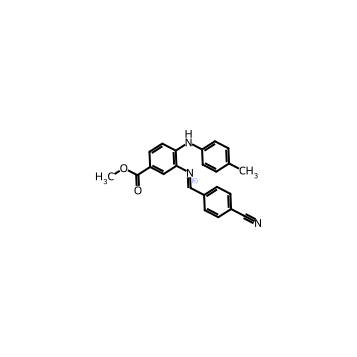 COC(=O)c1ccc(Nc2ccc(C)cc2)c(/N=C/c2ccc(C#N)cc2)c1